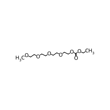 CCOC(=O)OCCOCCOCCOCCOC